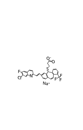 O=C([O-])CCSC1c2cc(/C=C/c3ccc4cc(F)c(Cl)cc4n3)ccc2C=Cc2c1cccc2C(F)(F)F.[Na+]